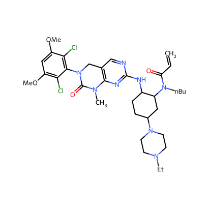 C=CC(=O)N(CCCC)C1CC(N2CCN(CC)CC2)CCC1Nc1ncc2c(n1)N(C)C(=O)N(c1c(Cl)c(OC)cc(OC)c1Cl)C2